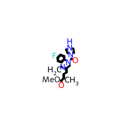 C=N/C(=C\C=C(/C)C(=O)OC)CN(C(=O)N1CCNCC1)c1ccc(F)cc1